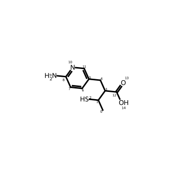 CC(S)C(Cc1ccc(N)nc1)C(=O)O